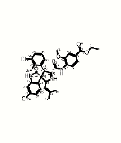 CCOC(=O)c1ccc(NC(=O)[C@@H]2N[C@@H](C=C(C)C)[C@@]3(C(=O)Nc4cc(Cl)ccc43)[C@H]2c2cccc(Cl)c2F)c(OC)c1